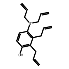 C=CCc1c(O)ccc([S+](CC=C)CC=C)c1CC=C